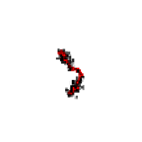 CC(C)(CCCCCc1ccc(CCCCC(C)(C)C(=O)CCNC(=O)CCNC(=O)C(O)C(C)(C)COP(=O)(O)OP(=O)(O)OCC2OC(n3cnc4c(N)ncnc43)C(O)C2OP(=O)(O)O)cc1)C(=O)CCNC(=O)CCNC(=O)C(O)C(C)(C)COP(=O)(O)OP(=O)(O)OCC1OC(n2cnc3c(N)ncnc32)C(O)C1OP(=O)(O)O